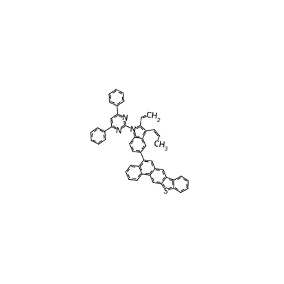 C=Cc1c(/C=C\C)c2cc(-c3cc4cc5c(cc4c4ccccc34)sc3ccccc35)ccc2n1-c1nc(-c2ccccc2)cc(-c2ccccc2)n1